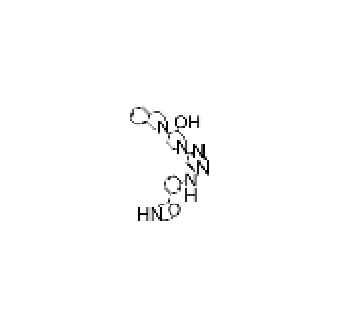 O[C@@H]1CN(c2cc(Nc3cccc(C4CNCCO4)c3)ncn2)CC[C@H]1N1CCc2ccccc2C1